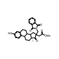 COC(=O)CC1(CN2C(=O)c3ccccc3C2=O)CC2C3CCc4cc(O)ccc4C3CC[C@]2(C)C1=O